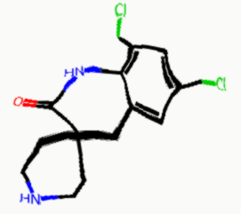 O=C1Nc2c(Cl)cc(Cl)cc2CC12CCNCC2